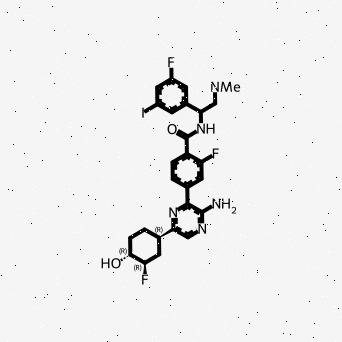 CNCC(NC(=O)c1ccc(-c2nc([C@@H]3CC[C@@H](O)[C@H](F)C3)cnc2N)cc1F)c1cc(F)cc(I)c1